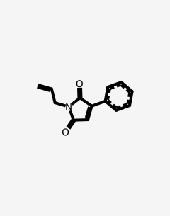 C=CCN1C(=O)C=C(c2ccccc2)C1=O